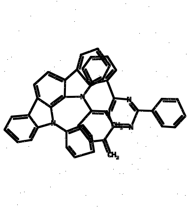 C=C(/C=C\C(=C/C)n1c2ccccc2c2ccc3c4ccccc4n(-c4ccccc4)c3c21)c1nc(-c2ccccc2)nc(-c2ccccc2)n1